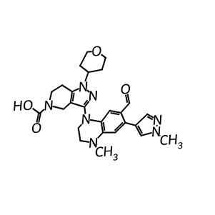 CN1CCN(c2nn(C3CCOCC3)c3c2CN(C(=O)O)CC3)c2cc(C=O)c(-c3cnn(C)c3)cc21